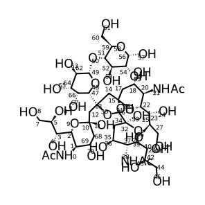 CC(=O)N[C@H]1[C@H]([C@H](O)[C@H](O)CO)O[C@](O)(CC(C[C@]2(O)C[C@H](O)[C@@H](NC(C)=O)[C@H]([C@H](O)[C@H](O)CO)O2)(OC[C@]2(O)C[C@H](O)[C@@H](NC(C)=O)[C@H]([C@H](O)[C@H](O)CO)O2)[C@H]2O[C@@H](O[C@H]3[C@H](O)[C@@H](O)[C@@H](O)O[C@@H]3CO)[C@H](O)[C@@H](O)[C@H]2O)C[C@@H]1O